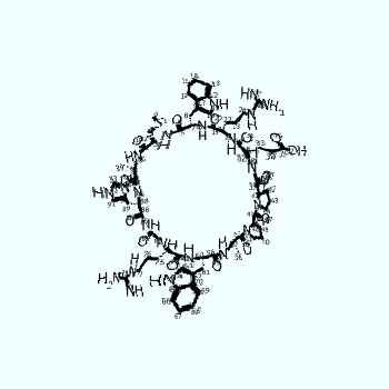 CSSC1NC(=O)[C@H](Cc2c[nH]c3ccccc23)NC(=O)[C@H](CCCNC(=N)N)NC(=O)[C@H](CCC(=O)O)NC(=O)[C@@H]2CCCN2C(=O)[C@@H]2CCCN2C(=O)[C@H](C)NC(=O)[C@H](Cc2c[nH]c3ccccc23)NC(=O)[C@H](CCCNC(=N)N)NC(=O)NC(=O)[C@H](Cc2c[nH]cn2)NC(=O)[C@H](C)NC1=O